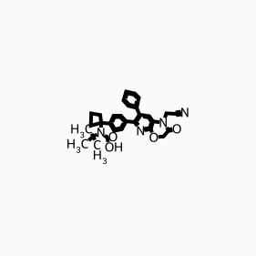 CC(C)(C)N(C(=O)O)C1(c2ccc(-c3nc4c(cc3-c3ccccc3)N(CC#N)C(=O)CO4)cc2)CCC1